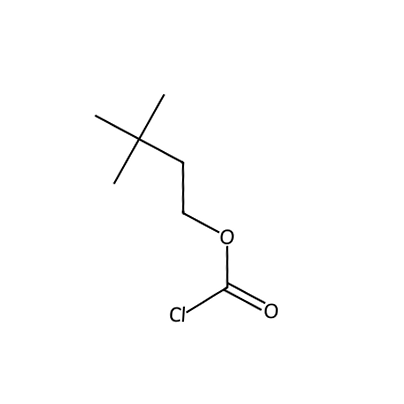 CC(C)(C)CCOC(=O)Cl